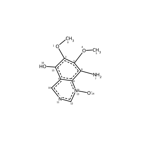 COc1c(OC)c(N)c2c(cnc[n+]2[O-])c1O